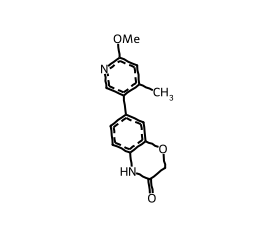 COc1cc(C)c(-c2ccc3c(c2)OCC(=O)N3)cn1